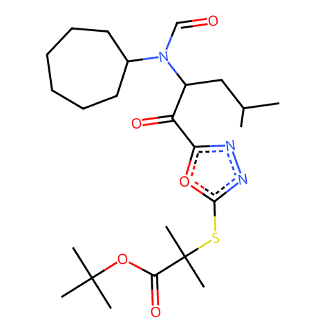 CC(C)CC(C(=O)c1nnc(SC(C)(C)C(=O)OC(C)(C)C)o1)N(C=O)C1CCCCCC1